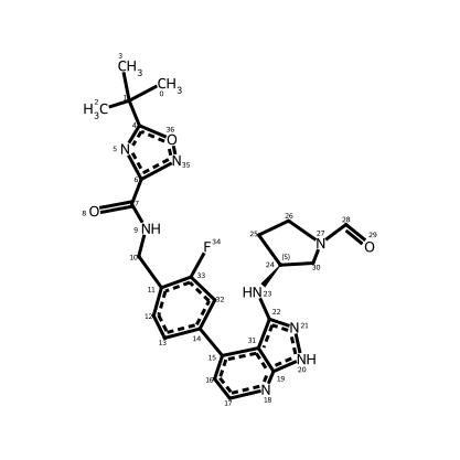 CC(C)(C)c1nc(C(=O)NCc2ccc(-c3ccnc4[nH]nc(N[C@H]5CCN(C=O)C5)c34)cc2F)no1